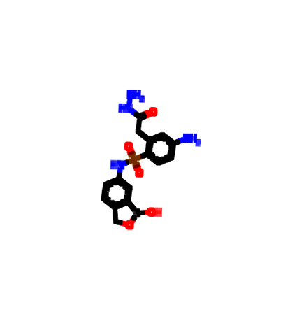 NNC(=O)Cc1cc(N)ccc1S(=O)(=O)Nc1ccc2c(c1)B(O)OC2